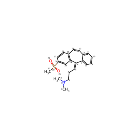 CN(C)CC/C=C1/c2ccccc2C=Cc2ccc(S(C)(=O)=O)cc21